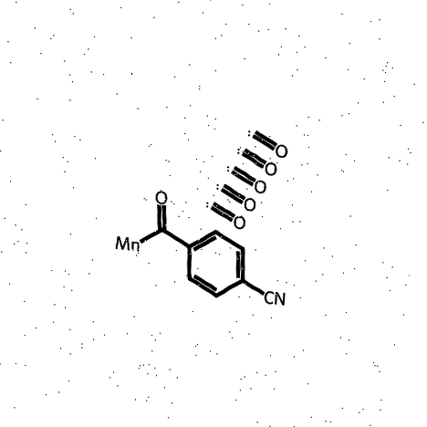 N#Cc1ccc([C](=O)[Mn])cc1.[C]=O.[C]=O.[C]=O.[C]=O.[C]=O